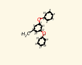 [CH2]c1cc(Oc2ccccc2)cc(Oc2ccccc2)c1